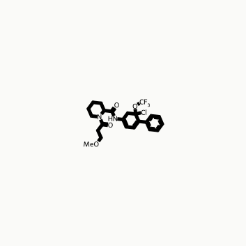 COCCC(=O)N1CCCCC1C(=O)NC1=CC=C(c2ccccc2)C(Cl)(OC(F)(F)F)C1